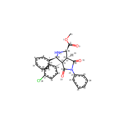 COC(=O)[C@@H]1N[C@H](c2ccccc2)[C@]2(c3ccc(Cl)cc3)C(=O)N(c3ccccc3)C(=O)[C@H]12